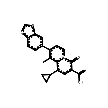 Cc1c(-c2ccc3scnc3c2)ccn2c(=O)c(C(=O)O)cc(C3CC3)c12